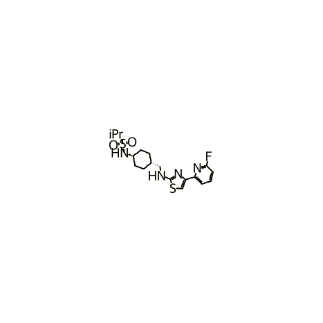 CC(C)S(=O)(=O)N[C@H]1CC[C@H](CNc2nc(-c3cccc(F)n3)cs2)CC1